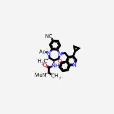 CN[C@@H](C)C(=O)N[C@@H]1C(=O)N(Cc2c(C3CC3)cnc3ccccc23)c2ccc(C#N)cc2N(C(C)=O)[C@H]1C